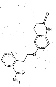 NC(=O)c1cccnc1CCOc1ccc2c(c1)CCC(=O)N2